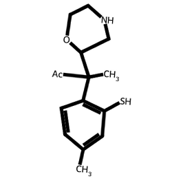 CC(=O)C(C)(c1ccc(C)cc1S)C1CNCCO1